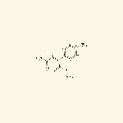 CCCCCCOC(=O)C(=CC(N)=O)c1ccc([N+](=O)[O-])cc1